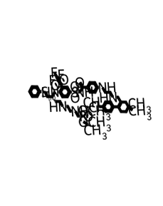 CC(C)OP(=O)(CNCCNCC[C@H](CSc1ccccc1)Nc1ccc(S(=O)(=O)NC(=O)c2ccc(NCCNCC3=C(c4ccc(Cl)cc4)CCC(C)(C)C3)cc2)cc1S(=O)(=O)C(F)(F)F)OC(C)C